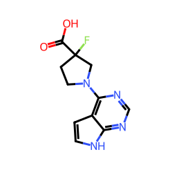 O=C(O)C1(F)CCN(c2ncnc3[nH]ccc23)C1